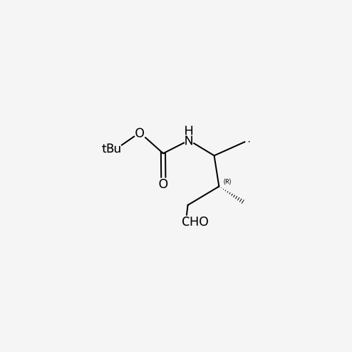 [CH2]C(NC(=O)OC(C)(C)C)[C@H](C)CC=O